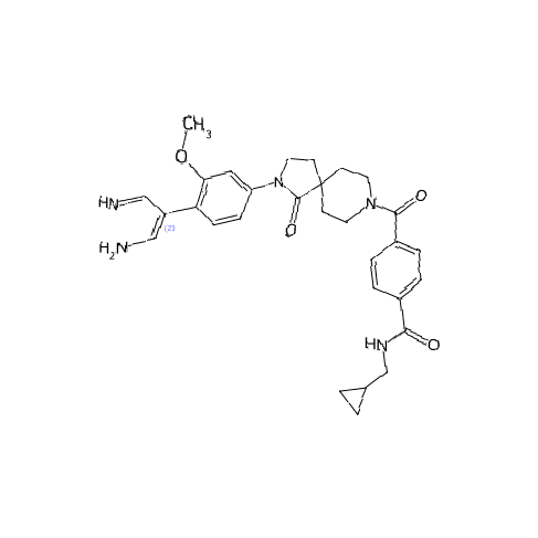 COc1cc(N2CCC3(CCN(C(=O)c4ccc(C(=O)NCC5CC5)cc4)CC3)C2=O)ccc1/C(C=N)=C/N